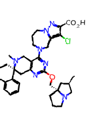 C[C@H]1CN2CCC[C@@]2(COc2nc3c(c(N4CCCn5nc(C(=O)O)c(Cl)c5C4)n2)CN(C)[C@@]2(CCCc4ccccc42)C3)C1